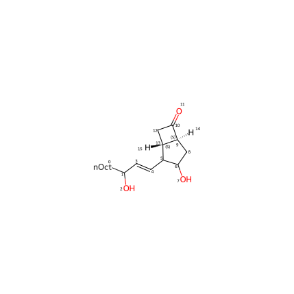 CCCCCCCCC(O)C=CC1C(O)C[C@@H]2C(=O)C[C@@H]12